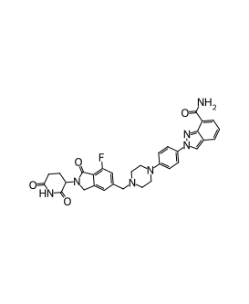 NC(=O)c1cccc2cn(-c3ccc(N4CCN(Cc5cc(F)c6c(c5)CN(C5CCC(=O)NC5=O)C6=O)CC4)cc3)nc12